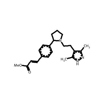 COC(=O)/C=C/c1ccc(C2CCCN2CCc2c(C)n[nH]c2C)cc1